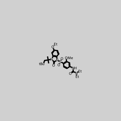 CCOc1ccc2c(c1)n(C(C)(C)CC(C)(C)C)c(=O)n2S(=O)(=O)c1ccc(NC(=O)N(CC)CC)cc1OC